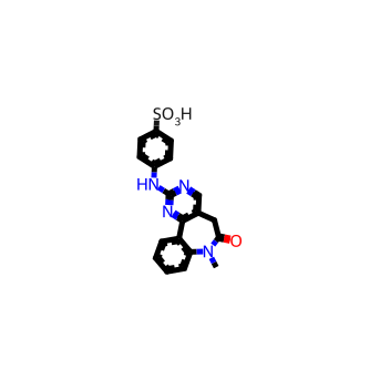 CN1C(=O)Cc2cnc(Nc3ccc(S(=O)(=O)O)cc3)nc2-c2ccccc21